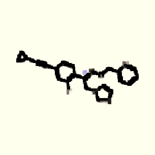 Fc1cc(C#CC2CC2)ccc1/C(Cn1ccnc1)=N/OCc1ccccn1